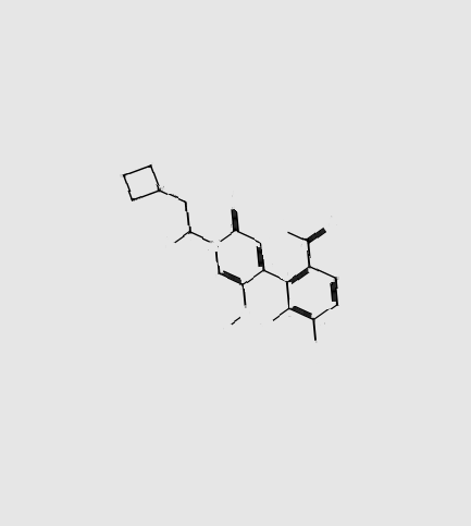 COc1cn(C(C)CC2CCC2)c(=O)cc1-c1c(C(C)=O)ccc(Cl)c1F